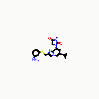 CN1C(=O)CN(c2cc(C3CC3)cn3cc(CSc4cccc(N)c4)nc23)C1=O